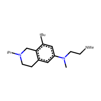 CNCCN(C)c1cc2c(c(C(C)(C)C)c1)CN(C(C)C)CC2